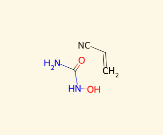 C=CC#N.NC(=O)NO